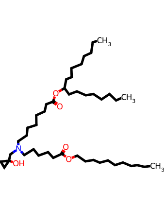 CCCCCCCCCCCOC(=O)CCCCCN(CCCCCCCC(=O)OC(CCCCCCCC)CCCCCCCC)CC1(O)CC1